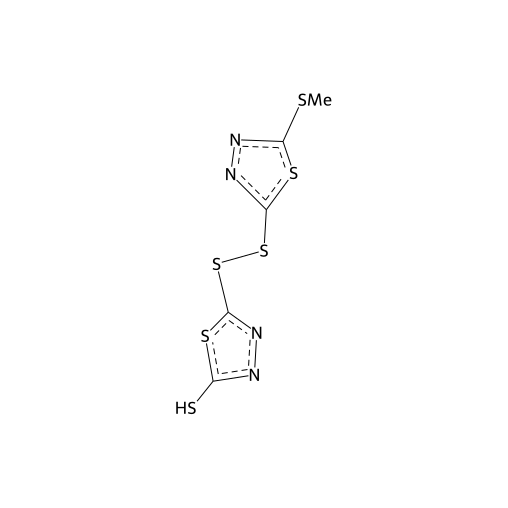 CSc1nnc(SSc2nnc(S)s2)s1